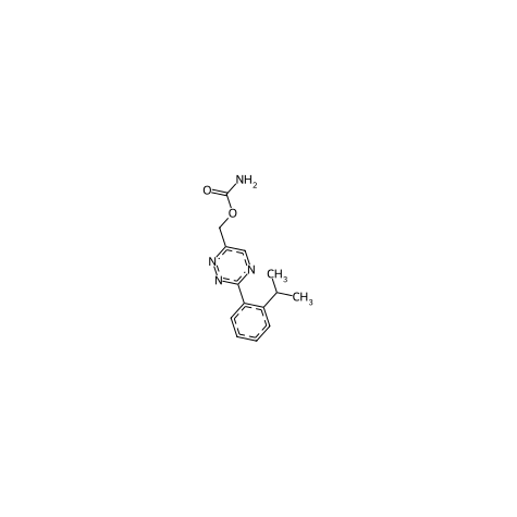 CC(C)c1ccccc1-c1ncc(COC(N)=O)nn1